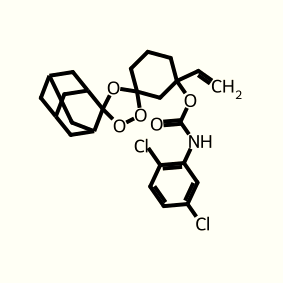 C=CC1(OC(=O)Nc2cc(Cl)ccc2Cl)CCCC2(C1)OOC1(O2)C2CC3CC(C2)CC1C3